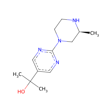 C[C@H]1CN(c2ncc(C(C)(C)O)cn2)CCN1